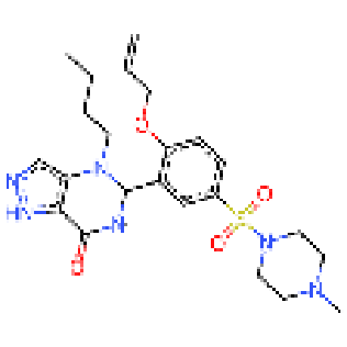 C=CCOc1ccc(S(=O)(=O)N2CCN(C)CC2)cc1C1[N]C(=O)c2[nH]ncc2N1CCCC